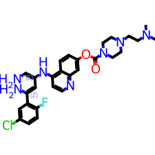 CN(C)CCN1CCN(C(=O)Oc2ccc3c(NC(/C=C(\N)c4cc(Cl)ccc4F)=C/N)ccnc3c2)CC1